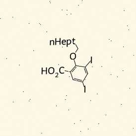 CCCCCCCCOc1c(I)cc(I)cc1C(=O)O